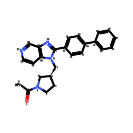 CCCC(=O)N1CC[C@@H](Cn2c(-c3ccc(-c4ccccc4)cc3)nc3cnccc32)C1